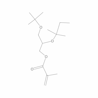 C=C(C)C(=O)OCC(COC(C)(C)C)OC(C)(C)CC